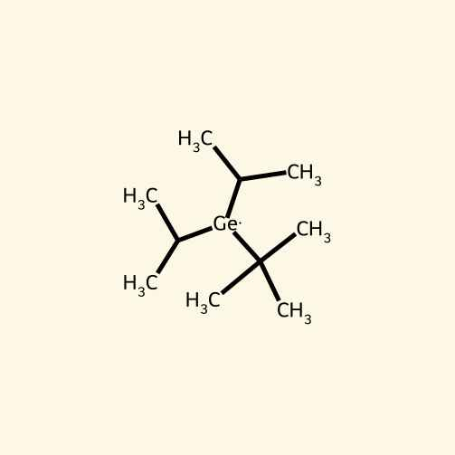 C[CH](C)[Ge]([CH](C)C)[C](C)(C)C